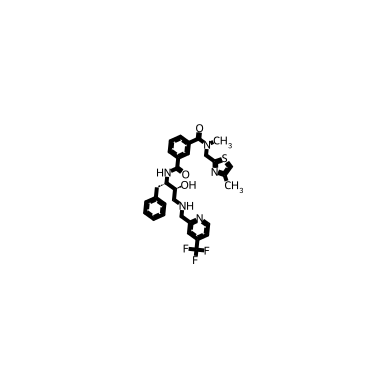 Cc1csc(CN(C)C(=O)c2cccc(C(=O)N[C@@H](Cc3ccccc3)[C@H](O)CNCc3cc(C(F)(F)F)ccn3)c2)n1